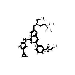 CCN(CCN(C)C)Cc1cn2c(Nc3cc(C4CC4)[nH]n3)nc(-c3cccc(S(=O)(=O)CC)c3)cc2n1